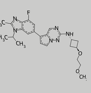 COCCO[C@H]1C[C@H](Nc2ncc3c(-c4cc(F)c5nc(C)n(C(C)C)c5c4)ccn3n2)C1